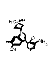 Cc1cc2c(cc1C#N)c(-c1cncc(N)c1Cl)cn2C1CS(O)(O)C1